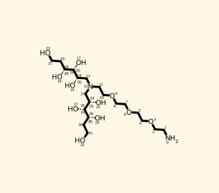 NCCOCCOCCOCCN(C[C@H](O)[C@@H](O)[C@H](O)CCO)C[C@H](O)[C@@H](O)[C@H](O)CCO